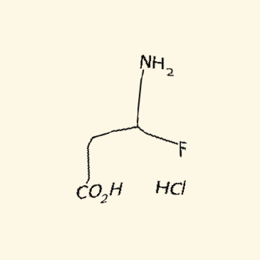 Cl.NC(F)CC(=O)O